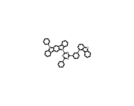 c1ccc(-c2nc(-c3cccc(-c4cccc5oc6ccccc6c45)c3)nc(-n3c4ccccc4c4cc5c(cc43)c3ccccc3n5-c3ccccc3)n2)cc1